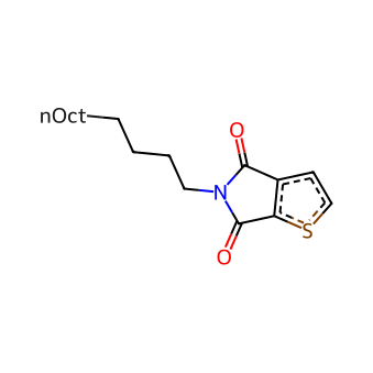 CCCCCCCCCCCCN1C(=O)c2ccsc2C1=O